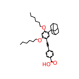 CCCCCCOc1cc(OCCCCCC)c(C23CC4CC(CC(C4)C2)C3)cc1C#Cc1ccc(C(=O)O)cc1